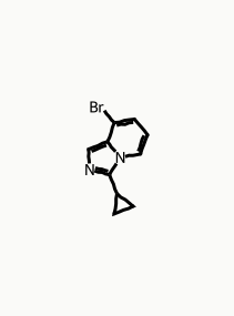 Brc1cccn2c(C3CC3)ncc12